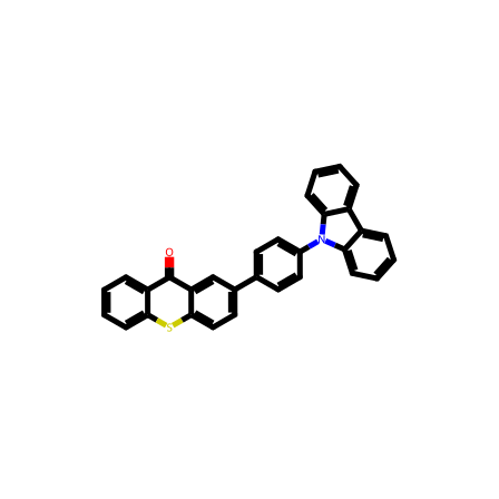 O=c1c2ccccc2sc2ccc(-c3ccc(-n4c5ccccc5c5ccccc54)cc3)cc12